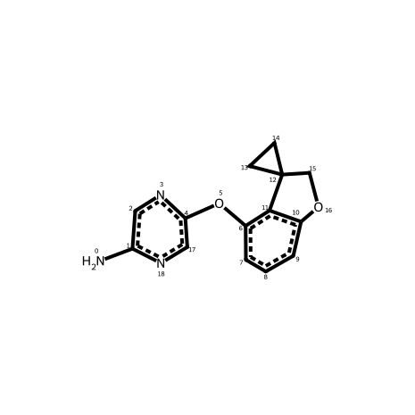 Nc1cnc(Oc2cccc3c2C2(CC2)CO3)cn1